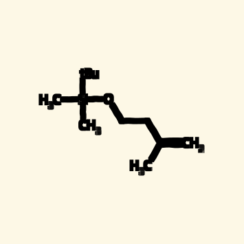 C=C(C)CCO[Si](C)(C)C(C)(C)C